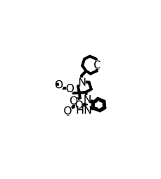 COCOCC1(COCOC)CN(CC2CCCCCCC2)CCC1n1c(=O)[nH]c2ccccc21